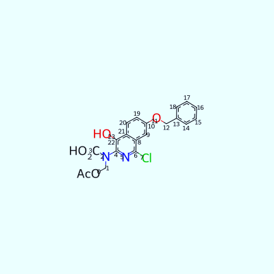 CC(=O)OCN(C(=O)O)c1nc(Cl)c2cc(OCc3ccccc3)ccc2c1O